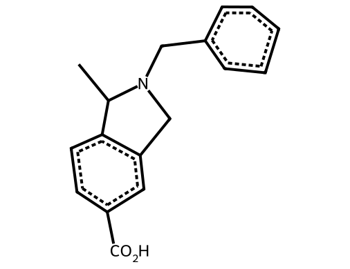 CC1c2ccc(C(=O)O)cc2CN1Cc1ccccc1